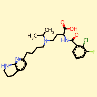 CC(C)N(CCCCc1ccc2c(n1)NCCC2)CCC(NC(=O)c1cccc(F)c1Cl)C(=O)O